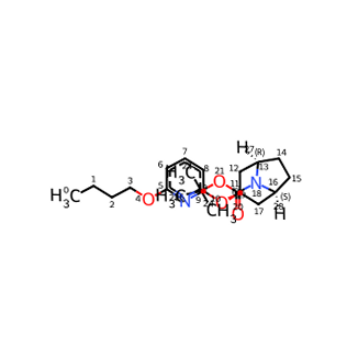 CCCCOc1cccc(O[C@H]2C[C@H]3CC[C@@H](C2)N3C(=O)OC(C)(C)C)n1